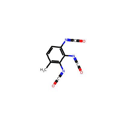 Cc1ccc(N=C=O)c(N=C=O)c1N=C=O